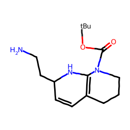 CC(C)(C)OC(=O)N1CCCC2=C1NC(CCN)C=C2